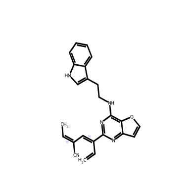 C=C/C(=C\C(C#N)=C/C)c1nc(NCCc2c[nH]c3ccccc23)c2occc2n1